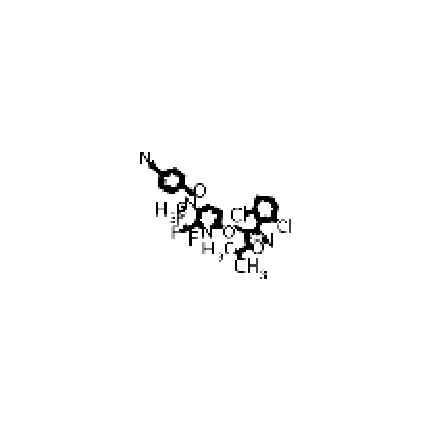 CC(C)c1onc(-c2c(Cl)cccc2Cl)c1COc1ccc(N(C)C(=O)c2ccc(C#N)cc2)c(C(F)(F)F)n1